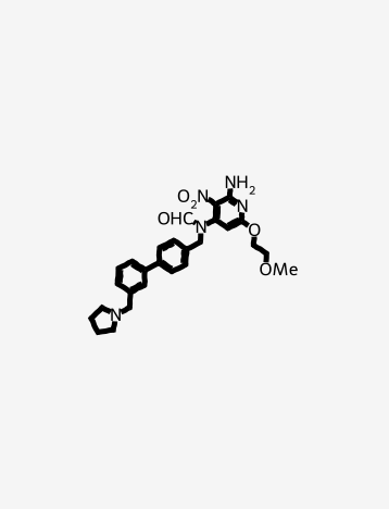 COCCOc1cc(N(C=O)Cc2ccc(-c3cccc(CN4CCCC4)c3)cc2)c([N+](=O)[O-])c(N)n1